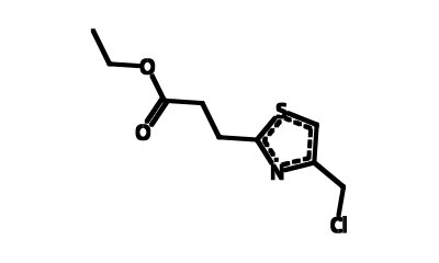 CCOC(=O)CCc1nc(CCl)cs1